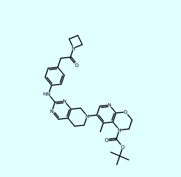 Cc1c(N2CCc3cnc(Nc4ccc(CC(=O)N5CCC5)cc4)nc3C2)cnc2c1N(C(=O)OC(C)(C)C)CCO2